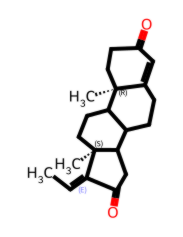 C/C=C1/C(=O)CC2C3CCC4=CC(=O)CC[C@]4(C)C3CC[C@]12C